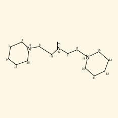 C1CCN(CCNCCN2CCCCC2)CC1